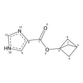 O=C(OC12CC(C1)C2)c1c[nH]cn1